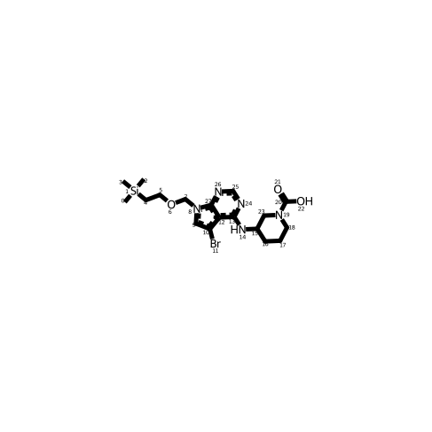 C[Si](C)(C)CCOCn1cc(Br)c2c(NC3CCCN(C(=O)O)C3)ncnc21